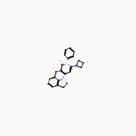 O=c1c2cccc3c2n(c2cc(C4CCC4)n(-c4ccccc4)c(=O)c12)CC3